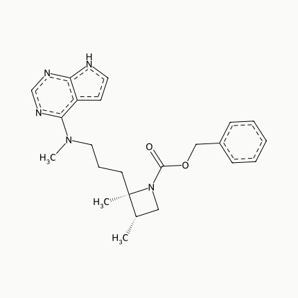 C[C@H]1CN(C(=O)OCc2ccccc2)[C@]1(C)CCCN(C)c1ncnc2[nH]ccc12